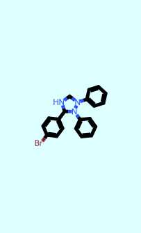 Brc1ccc(C2NCN(c3ccccc3)N2c2ccccc2)cc1